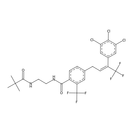 CC(C)(C)C(=O)NCCNC(=O)c1ccc(C/C=C(\c2cc(Cl)c(Cl)c(Cl)c2)C(F)(F)F)cc1C(F)(F)F